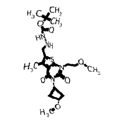 COCCn1c(=O)n([C@H]2C[C@@H](OC)C2)c(=O)c2c(C)c(CNNC(=O)OC(C)(C)C)sc21